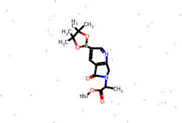 CC(C(=O)OC(C)(C)C)N1Cc2ncc(B3OC(C)(C)C(C)(C)O3)cc2C1=O